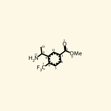 COC(=O)c1ccc(C(F)(F)F)c(C(C)N)c1